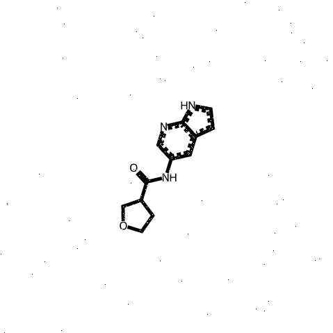 O=C(Nc1cnc2[nH]ccc2c1)C1CCOC1